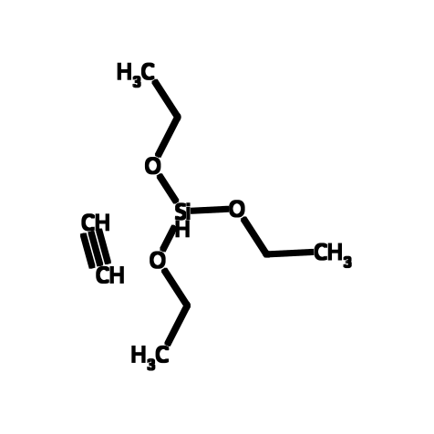 C#C.CCO[SiH](OCC)OCC